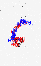 CO[C@H]1C[C@@H]2CC[C@@H](C)[C@@](O)(O2)C(=O)C(=O)N2CCCC[C@H]2C(=O)O[C@H]([C@H](N)C[C@@H]2CCC(n3nncc3-c3cccc(-c4cnc(N5CCN(C(=O)CCc6cn(CCOCCOCCOCCC(=O)NCCCCn7nc(-c8ccc9oc(N)nc9c8)c8c(N)ncnc87)nn6)CC5)nc4)c3)[C@H](OC)C2)CC(=O)[C@H](C)/C=C(\C)[C@@H](O)[C@@H](OC)C(=O)[C@H](C)C[C@H](C)/C=C/C=C/C=C/1C